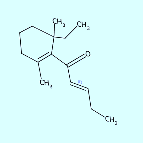 CC/C=C/C(=O)C1=C(C)CCCC1(C)CC